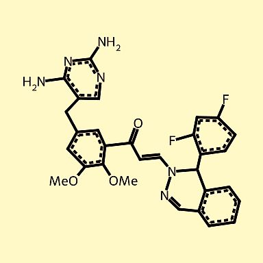 COc1cc(Cc2cnc(N)nc2N)cc(C(=O)C=CN2N=Cc3ccccc3C2c2ccc(F)cc2F)c1OC